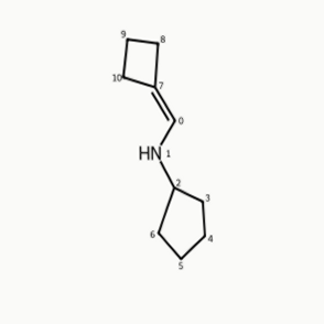 C(NC1CCCC1)=C1CCC1